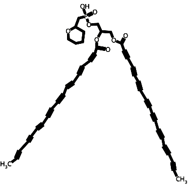 CC#CC#CC#CC#CC#CC#CC#CC#CC(=O)OCC(COP(=O)(O)CC1CCCCO1)OC(=O)C#CC#CC#CC#CC#CC#CC#CC#CC